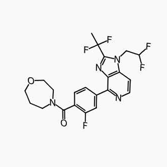 CC(F)(F)c1nc2c(-c3ccc(C(=O)N4CCCOCC4)c(F)c3)nccc2n1CC(F)F